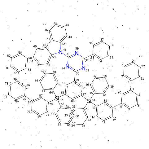 c1ccc(-c2cccc(-c3cccc([Si](c4ccccc4)(c4ccccc4)c4cc(-c5nc(-c6ccccc6)nc(-n6c7ccccc7c7ccccc76)n5)cc([Si](c5ccccc5)(c5ccccc5)c5cccc(-c6cccc(-c7ccccc7)c6)c5)c4)c3)c2)cc1